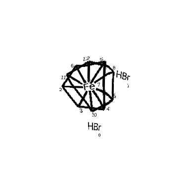 Br.Br.[CH]12[CH]3[CH]4[CH]5[CH]1[Fe]23451678[CH]2[CH]1[CH]6[CH]7[CH]28